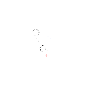 CNC.Cc1cc(OC[Si](C)(C)c2ccccc2)c(C)c(C)c1O